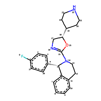 Fc1ccc([C@H]2c3ccccc3CCN2C2=NC[C@H](C3CCNCC3)O2)cc1